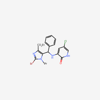 CCOC(=O)c1nc(Br)n(C(C)C)c1C(Nc1cc(Cl)c[nH]c1=O)c1ccccc1